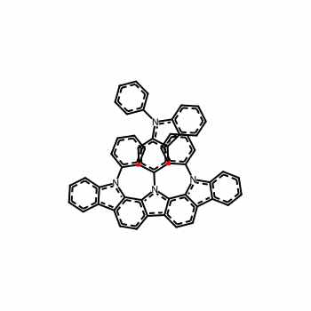 c1ccc(-n2c3ccccc3c3cc(-n4c5c(ccc6c7ccccc7n(-c7ccccc7)c65)c5ccc6c7ccccc7n(-c7ccccc7)c6c54)ccc32)cc1